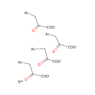 CC(=O)CC(=O)C(=O)[O-].CC(=O)CC(=O)C(=O)[O-].CC(=O)CC(=O)C(=O)[O-].CC(=O)CC(=O)C(=O)[O-].[Ti+4]